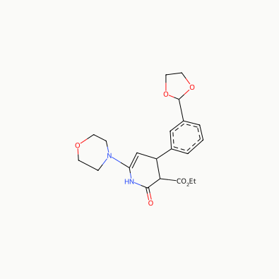 CCOC(=O)C1C(=O)NC(N2CCOCC2)=CC1c1cccc(C2OCCO2)c1